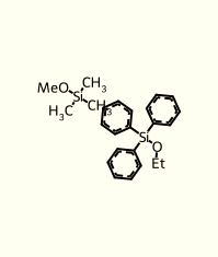 CCO[Si](c1ccccc1)(c1ccccc1)c1ccccc1.CO[Si](C)(C)C